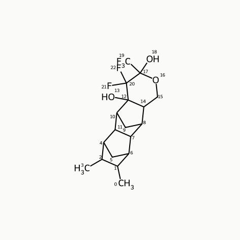 CC1C(C)C2CC1C1C3CC(C21)C1(O)C3COC(O)(C(F)(F)F)C1(F)F